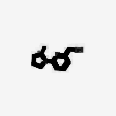 C[C@@H]1CCCN1c1cccc(CO)n1